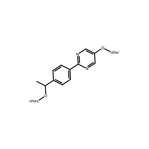 CCCCCCCCCCOc1cnc(-c2ccc(C(C)OCCCCCC)cc2)nc1